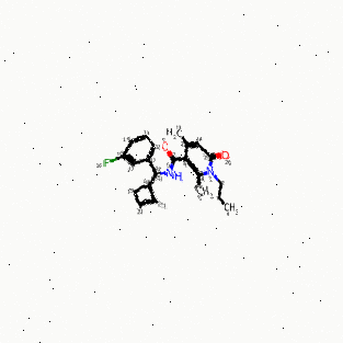 CCCn1c(C)c(C(=O)N[C@H](c2cccc(F)c2)C2CCC2)c(C)cc1=O